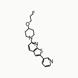 FCCOC1CCN(c2ccc3cc(-c4cccnc4)sc3n2)CC1